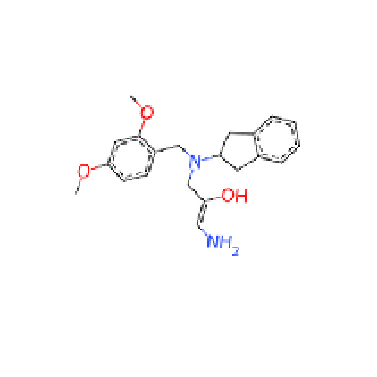 COc1ccc(CN(C/C(O)=C/N)C2Cc3ccccc3C2)c(OC)c1